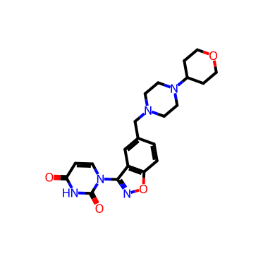 O=c1ccn(-c2noc3ccc(CN4CCN(C5CCOCC5)CC4)cc23)c(=O)[nH]1